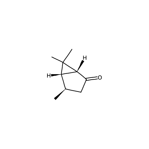 C[C@@H]1CC(=O)[C@@H]2[C@H]1C2(C)C